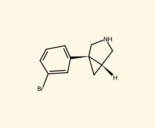 Brc1cccc([C@@]23CNC[C@@H]2C3)c1